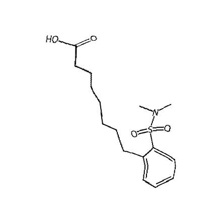 CN(C)S(=O)(=O)c1ccccc1CCCCCCCC(=O)O